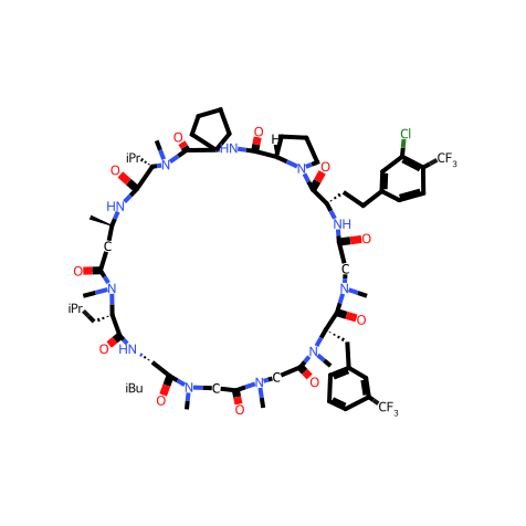 CC[C@H](C)[C@@H]1NC(=O)[C@H](CC(C)C)N(C)C(=O)C[C@@H](C)NC(=O)[C@H](C(C)C)N(C)C(=O)C2(CCCC2)NC(=O)[C@@H]2CCCN2C(=O)[C@H](CCc2ccc(C(F)(F)F)c(Cl)c2)NC(=O)CN(C)C(=O)[C@H](Cc2cccc(C(F)(F)F)c2)N(C)C(=O)CN(C)C(=O)CN(C)C1=O